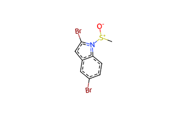 C[S+]([O-])n1c(Br)cc2cc(Br)ccc21